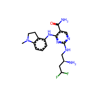 CN1CCc2c(Nc3nc(NC[C@@H](N)CC(F)F)ncc3C(N)=O)cccc21